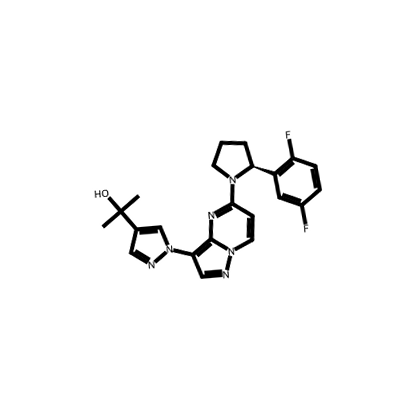 CC(C)(O)c1cnn(-c2cnn3ccc(N4CCC[C@H]4c4cc(F)ccc4F)nc23)c1